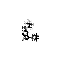 [2H]C([2H])([2H])C(=O)Nc1cc2c(B3OC(C)(C)C(C)(C)O3)cn(C)c2cn1